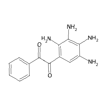 Nc1cc(C(=O)C(=O)c2ccccc2)c(N)c(N)c1N